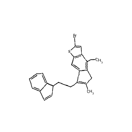 CC1=C(CCC2C=Cc3ccccc32)c2cc3sc(Br)cc3c(C)c2C1